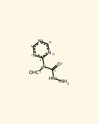 NNC(=O)N(C=O)c1ncncn1